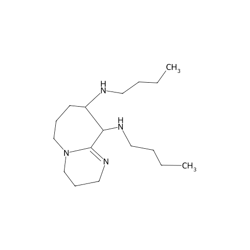 CCCCNC1CCCN2CCCN=C2C1NCCCC